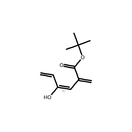 C=C/C(O)=C\C(=C)C(=O)OC(C)(C)C